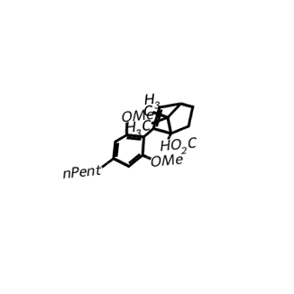 CCCCCc1cc(OC)c(C2=CC3CCC2(C(=O)O)C3(C)C)c(OC)c1